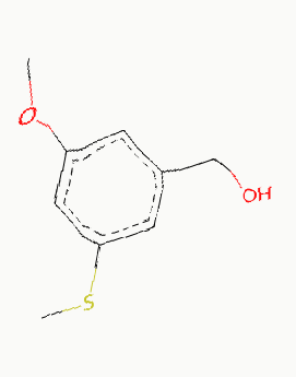 COc1cc(CO)cc(SC)c1